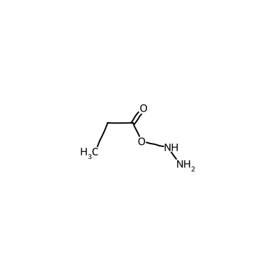 CCC(=O)ONN